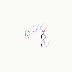 CC(C)C(CN1CCN(c2cccc(O)c2)[C@@H](C)C1)NC(=O)c1ccc(B2C=CCCN2)cc1